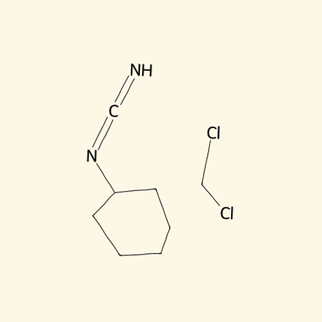 ClCCl.N=C=NC1CCCCC1